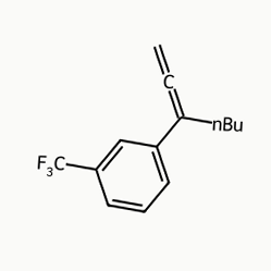 C=C=C(CCCC)c1cccc(C(F)(F)F)c1